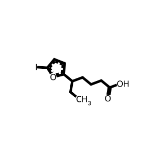 CCC(CCCC(=O)O)c1ccc(I)o1